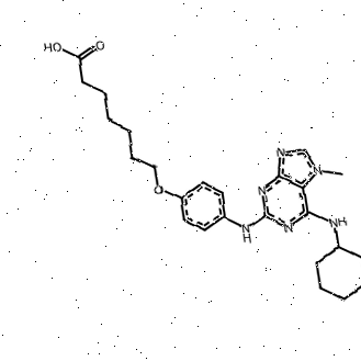 Cn1cnc2nc(Nc3ccc(OCCCCCCC(=O)O)cc3)nc(NC3CCCCC3)c21